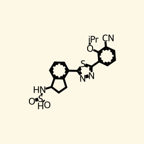 CC(C)Oc1c(C#N)cccc1-c1nnc(-c2cccc3c2CCC3N[SH](=O)=O)s1